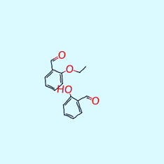 CCOc1ccccc1C=O.O=Cc1ccccc1O